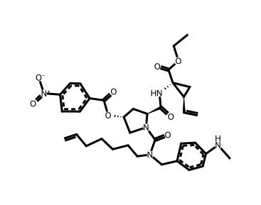 C=CCCCCCN(Cc1ccc(NC)cc1)C(=O)N1C[C@H](OC(=O)c2ccc([N+](=O)[O-])cc2)C[C@H]1C(=O)N[C@]1(C(=O)OCC)C[C@H]1C=C